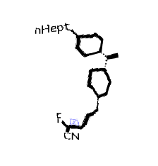 C=C([C@H]1CC[C@H](CC/C=C(\F)C#N)CC1)[C@H]1CC[C@H](CCCCCCC)CC1